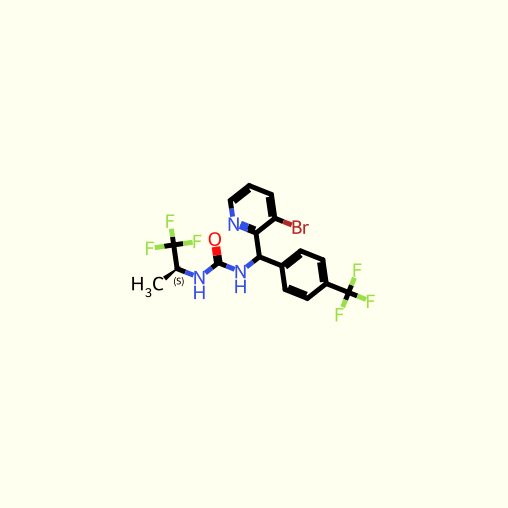 C[C@H](NC(=O)NC(c1ccc(C(F)(F)F)cc1)c1ncccc1Br)C(F)(F)F